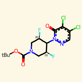 CC(C)(C)OC(=O)N1C[C@@H](F)C(n2ncc(Cl)c(Cl)c2=O)[C@@H](F)C1